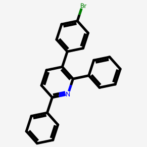 Brc1ccc(-c2ccc(-c3ccccc3)nc2-c2ccccc2)cc1